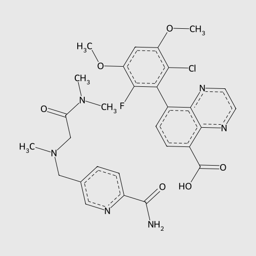 CN(CC(=O)N(C)C)Cc1ccc(C(N)=O)nc1.COc1cc(OC)c(Cl)c(-c2ccc(C(=O)O)c3nccnc23)c1F